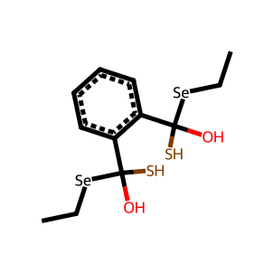 CC[Se]C(O)(S)c1ccccc1C(O)(S)[Se]CC